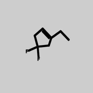 CCC1=CCC(F)(F)C1